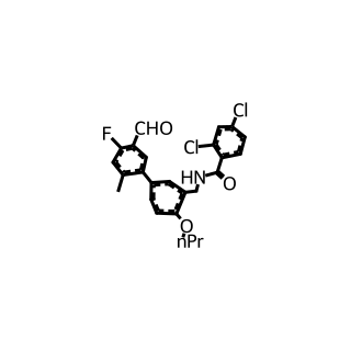 CCCOc1ccc(-c2cc(C=O)c(F)cc2C)cc1CNC(=O)c1ccc(Cl)cc1Cl